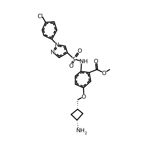 COC(=O)c1cc(OC[C@H]2C[C@@H](N)C2)ccc1NS(=O)(=O)c1cnn(-c2ccc(Cl)cc2)c1